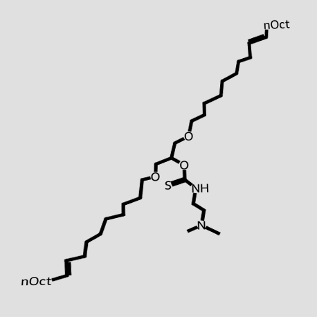 CCCCCCCCC=CCCCCCCCCOCC(COCCCCCCCCC=CCCCCCCCC)OC(=S)NCCN(C)C